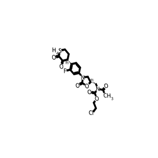 CC(=O)N(C[C@H]1CN(c2ccc([C@H]3CC[SH4]C(=O)C3=O)c(F)c2)C(=O)O1)C(=O)OCCCl